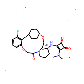 CN(C)c1c(N[C@H]2CCCN3C(=O)COc4cccc(F)c4C4CCC(CC4)OC[C@@H]23)c(=O)c1=O